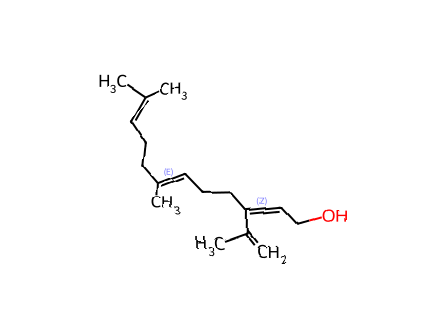 C=C(C)/C(=C\CO)CC/C=C(\C)CCC=C(C)C